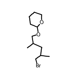 CC(CBr)CC(C)COC1CCCCO1